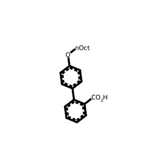 CCCCCCCCOc1ccc(-c2ccccc2C(=O)O)cc1